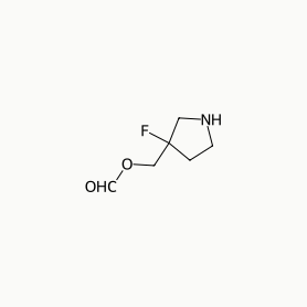 O=COCC1(F)CCNC1